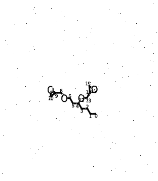 CCCCC(CCOCC1CO1)OCC1CO1